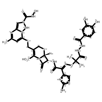 CC1=NC2=CN(C(=O)NO)NN2C(SCC2=C(C(=O)O)N3C(=O)[C@@H](NC(=O)C(=NOC(C)(C)C(=O)NNC(=O)c4ccc(O)c(O)c4)c4csc(N)n4)[C@H]3SC2)=C1